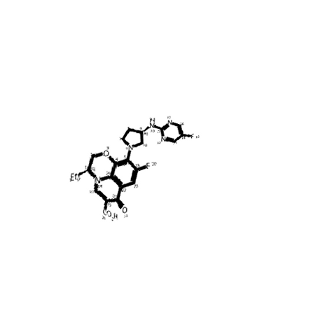 CC[C@H]1COc2c(N3CC[C@@H](Nc4ncc(F)cn4)C3)c(F)cc3c(=O)c(C(=O)O)cn1c23